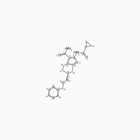 NC(=O)c1c(NC(=O)C2CC2)sc2c1CC/C(=N\OCc1ccccc1)C2